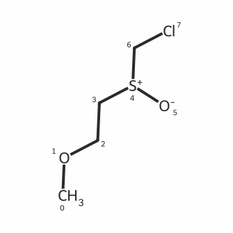 COCC[S+]([O-])CCl